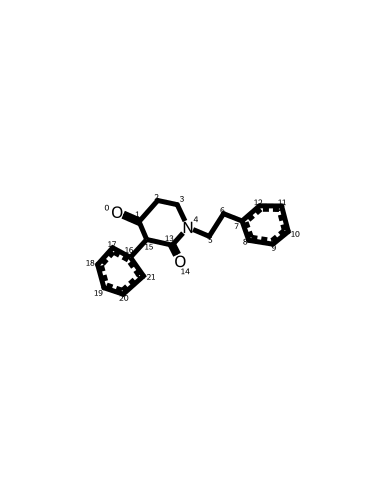 O=C1CCN(CCc2ccccc2)C(=O)C1c1ccccc1